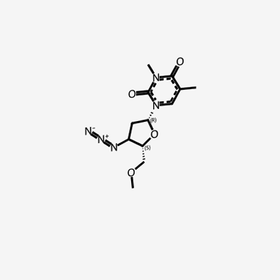 COC[C@H]1O[C@@H](n2cc(C)c(=O)n(C)c2=O)CC1N=[N+]=[N-]